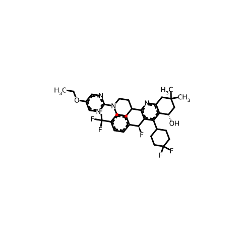 CCOc1cnc(N2CCC(c3nc4c(c(C5CCC(F)(F)CC5)c3[C@@H](F)c3ccc(C(F)(F)F)cc3)[C@@H](O)CC(C)(C)C4)CC2)nc1